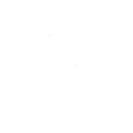 O=Cc1ccn(-c2ccc(C(F)(F)F)cn2)c1